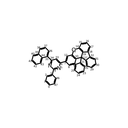 c1ccc(-c2nc(-c3ccc4c(c3)Oc3cccc5c3C4(c3ccccc3)c3ccccc3-5)cc(-c3cccc4ccccc34)n2)cc1